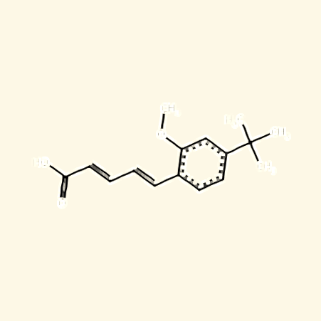 COc1cc(C(C)(C)C)ccc1C=CC=CC(=O)O